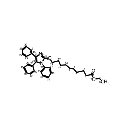 CCOC(=O)CCCCCCCCCOc1nc(-c2ccccc2)c(-c2ccccc2)n1-c1ccccc1